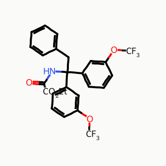 CCOC(=O)C(=O)NC(Cc1ccccc1)(c1cccc(OC(F)(F)F)c1)c1cccc(OC(F)(F)F)c1